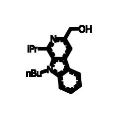 CCCCn1c2ccccc2c2cc(CO)nc(C(C)C)c21